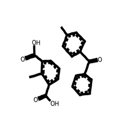 Cc1c(C(=O)O)cccc1C(=O)O.Cc1ccc(C(=O)c2ccccc2)cc1